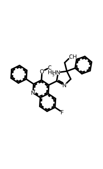 CCC1(c2ccccc2)CN=C(c2c(OC)c(-c3ccccc3)nc3ccc(F)cc23)N1